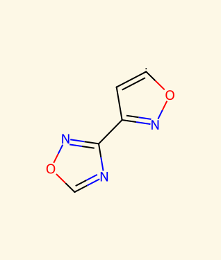 [c]1cc(-c2ncon2)no1